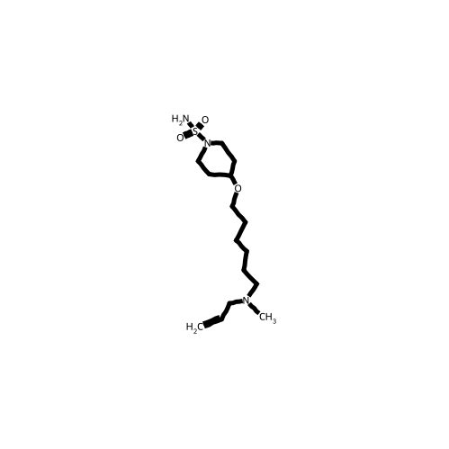 C=CCN(C)CCCCCCOC1CCN(S(N)(=O)=O)CC1